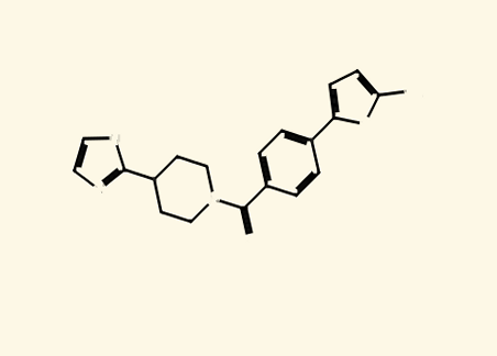 O=C(c1ccc(-c2ccc(C(F)(F)F)s2)cc1)N1CCC(c2ncc[nH]2)CC1